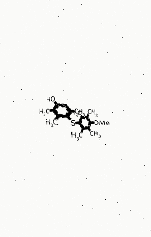 COc1c(C)c(C)c(Sc2c(C)cc(O)c(C)c2C)c(C)c1C